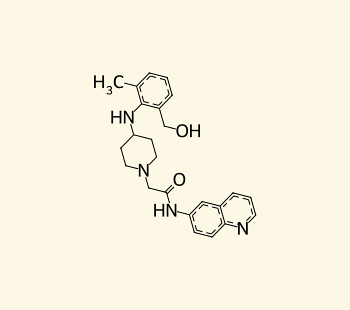 Cc1cccc(CO)c1NC1CCN(CC(=O)Nc2ccc3ncccc3c2)CC1